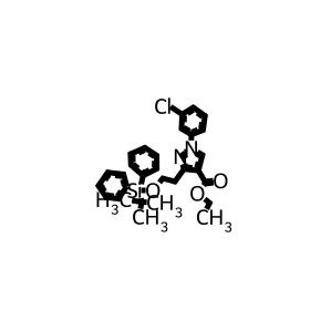 CCOC(=O)c1cn(-c2cccc(Cl)c2)nc1CCO[Si](c1ccccc1)(c1ccccc1)C(C)(C)C